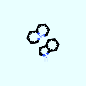 c1cc[n+]2ccccc2c1.c1ccc2[nH]ccc2c1